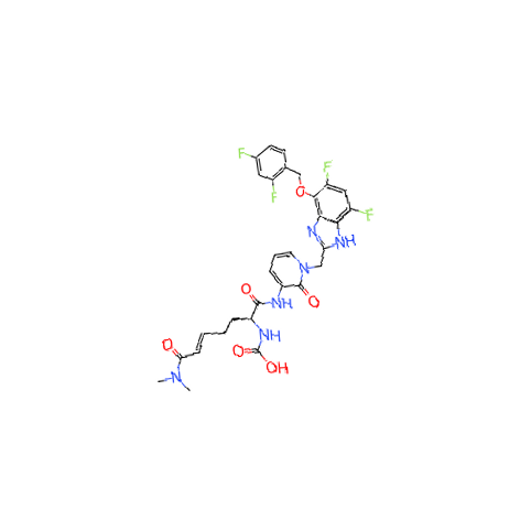 CN(C)C(=O)/C=C/CC[C@H](NC(=O)O)C(=O)Nc1cccn(Cc2nc3c(OCc4ccc(F)cc4F)c(F)cc(F)c3[nH]2)c1=O